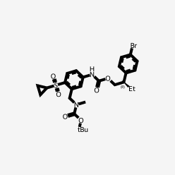 CC[C@@H](COC(=O)Nc1ccc(S(=O)(=O)C2CC2)c(CN(C)C(=O)OC(C)(C)C)c1)c1ccc(Br)cc1